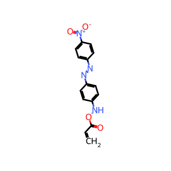 C=CC(=O)ONc1ccc(N=Nc2ccc([N+](=O)[O-])cc2)cc1